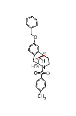 Cc1ccc(S(=O)(=O)N2CC[C@]34CCCC[C@H]3[C@H]2Cc2ccc(OCc3ccccc3)cc24)cc1